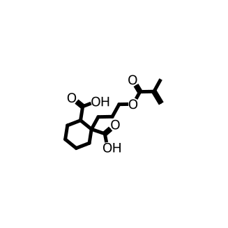 C=C(C)C(=O)OCCCC1(C(=O)O)CCCCC1C(=O)O